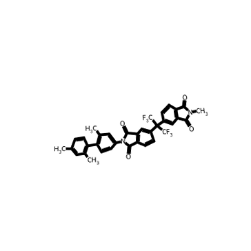 Cc1ccc(-c2ccc(N3C(=O)c4ccc(C(c5ccc6c(c5)C(=O)N(C)C6=O)(C(F)(F)F)C(F)(F)F)cc4C3=O)cc2C)c(C)c1